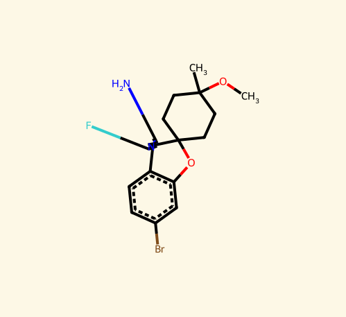 COC1(C)CCC2(CC1)Oc1cc(Br)ccc1C21C=C(F)C(N)=N1